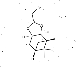 CC1(C)[C@@H]2C[C@H]3OB(CBr)O[C@@]3(C)[C@H]1C2